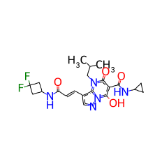 CC(C)Cn1c(=O)c(C(=O)NC2CC2)c(O)n2ncc(/C=C/C(=O)NC3CC(F)(F)C3)c12